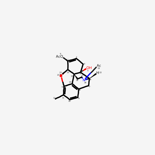 CC(=O)OC1=CC[C@]2(O)[C@@H]3Cc4ccc(C)c5c4[C@]2(CCN3C(C)=O)[C@@H]1O5